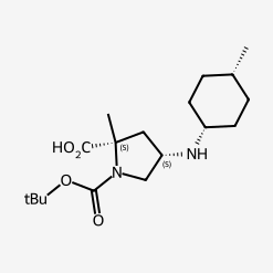 CC(C)(C)OC(=O)N1C[C@@H](N[C@H]2CC[C@@H](C)CC2)C[C@@]1(C)C(=O)O